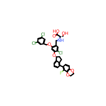 O=C(O)[C@H](CO)NCc1cc(Cl)c(O[C@H]2CCc3c(-c4ccc5c(c4F)OCCO5)cccc32)cc1OCc1cc(Cl)cc(Cl)c1